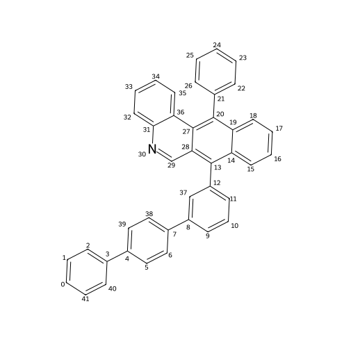 c1ccc(-c2ccc(-c3cccc(-c4c5ccccc5c(-c5ccccc5)c5c4cnc4ccccc45)c3)cc2)cc1